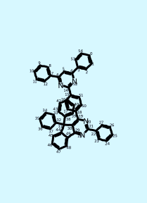 c1ccc(-c2cc(-c3ccccc3)nc(-c3ccc(-c4nc(-c5ccccc5)nc5c4C(c4ccccc4)(c4ccccc4)c4ccccc4-5)cc3)n2)cc1